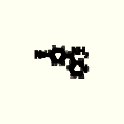 N#Cc1ccc(C(N)c2cccnc2)cc1